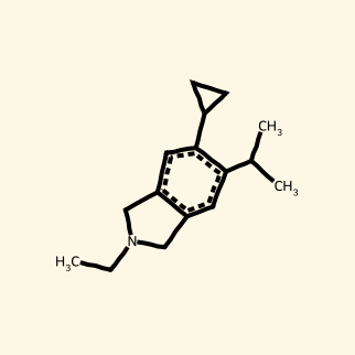 CCN1Cc2cc(C(C)C)c(C3CC3)cc2C1